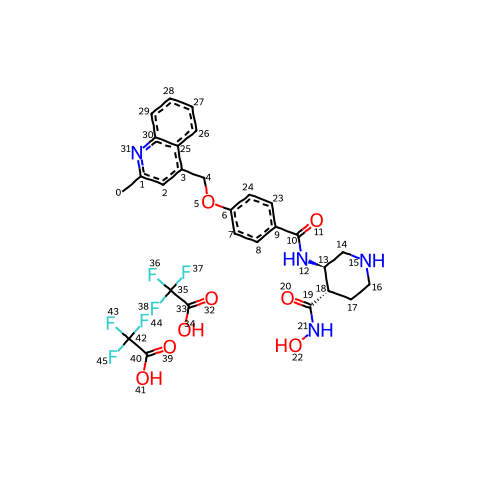 Cc1cc(COc2ccc(C(=O)N[C@H]3CNCC[C@@H]3C(=O)NO)cc2)c2ccccc2n1.O=C(O)C(F)(F)F.O=C(O)C(F)(F)F